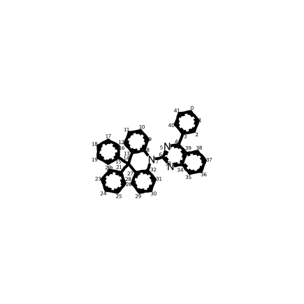 c1ccc(-c2nc(N3c4ccccc4C(c4ccccc4)(c4ccccc4)c4ccccc43)nc3ccccc23)cc1